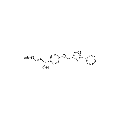 COC=CC(O)c1ccc(OCc2coc(-c3ccccc3)n2)cc1